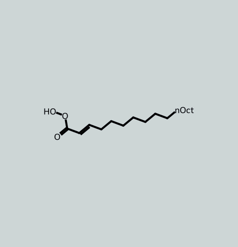 CCCCCCCCCCCCCCCC=CC(=O)OO